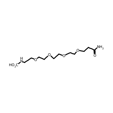 NC(=O)CCOCCOCCOCCOCCNC(=O)O